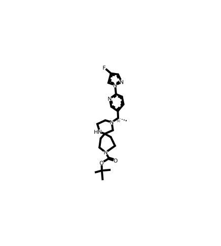 C[C@@H](c1ccc(-n2cc(F)cn2)nc1)N1CCNC2(CCN(C(=O)OC(C)(C)C)CC2)C1